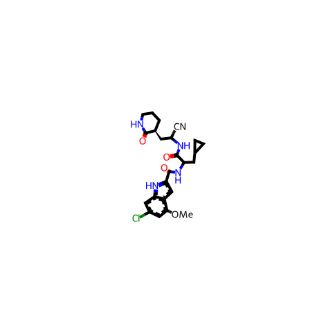 COc1cc(Cl)cc2[nH]c(C(=O)NC(CC3CC3)C(=O)NC(C#N)C[C@@H]3CCCNC3=O)cc12